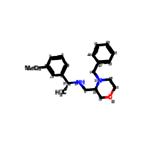 COc1cccc([C@@H](C)NCC2COCCN2Cc2ccccc2)c1